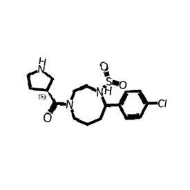 O=C([C@H]1CCNC1)N1CCCC(c2ccc(Cl)cc2)N([SH](=O)=O)CC1